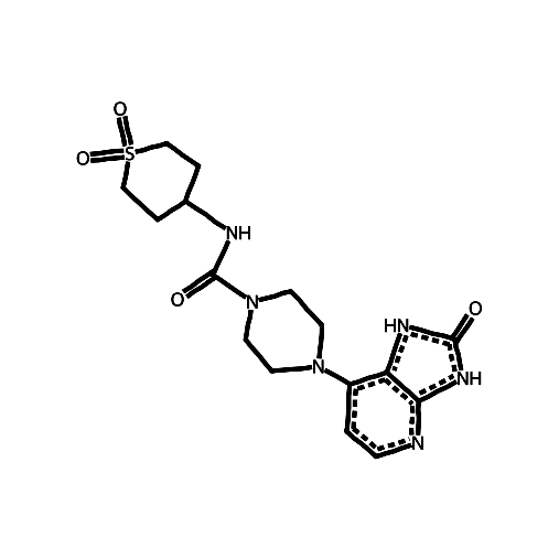 O=C(NC1CCS(=O)(=O)CC1)N1CCN(c2ccnc3[nH]c(=O)[nH]c23)CC1